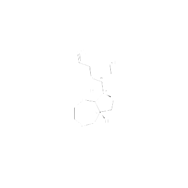 C=CCO[C@H](CO)[C@H]1OC[C@@H]2OOCCO[C@@H]12